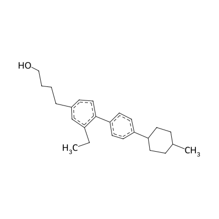 CCc1cc(CCCCO)ccc1-c1ccc(C2CCC(C)CC2)cc1